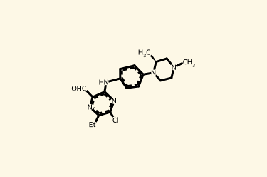 CCc1nc(C=O)c(Nc2ccc(N3CCN(C)C[C@@H]3C)cc2)nc1Cl